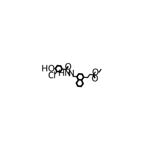 CCOC(=O)CCc1ccc(/C=N/NC(=O)c2ccc(O)c(Cl)c2)c2ccccc12